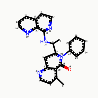 Cc1ccnc2cc(C(C)Nc3nccc4cccnc34)n(-c3ccccc3)c(=O)c12